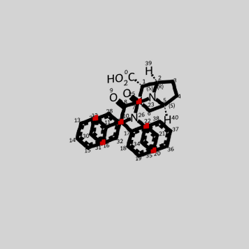 O=C(O)[C@@H]1[C@H]2CC[C@@H](CN1C(=O)C(c1ccccc1)c1ccccc1)N2C(=O)N(c1ccccc1)c1ccccc1